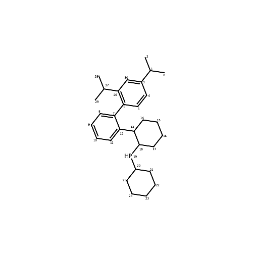 CC(C)c1ccc(-c2ccccc2C2CCCCC2PC2CCCCC2)c(C(C)C)c1